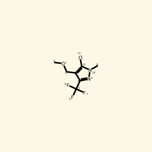 COCc1c(C(F)(F)F)nn(C)c1Cl